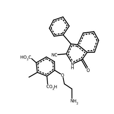 Cc1c(C(=O)O)ccc(OCCN)c1C(=O)O.N#Cc1[nH]c(=O)c2ccccc2c1-c1ccccc1